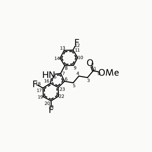 COC(=O)CCCc1c(-c2ccc(F)cc2)[nH]c2c(F)cc(F)cc12